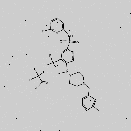 CN(c1cnc(S(=O)(=O)Nc2cccc(F)n2)cc1C(F)(F)F)C1CCN(Cc2cccc(F)c2)CC1.O=C(O)C(F)(F)F